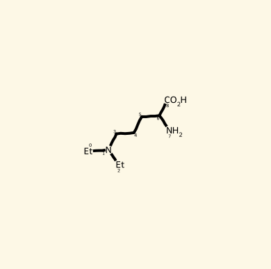 CCN(CC)CCCC(N)C(=O)O